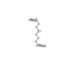 [CH2]CCCCCCCCCCSCCCCCCCCCCCC